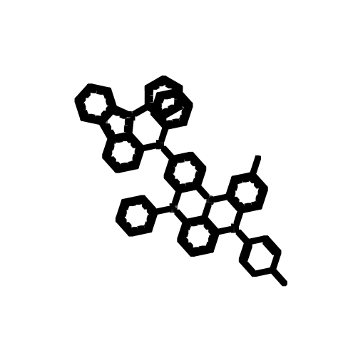 Cc1ccc2c(c1)B1c3ccc(N(c4ccccc4)c4cccc5c6ccccc6n(-c6ccccc6)c45)cc3N(c3ccccc3)c3cccc(c31)N2C1=CCC(C)C=C1